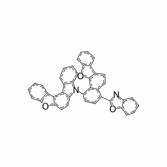 c1ccc2oc(-c3ccc(-n4c5ccccc5c5c6c(ccc54)oc4ccccc46)c4c3ccc3c5ccccc5oc34)nc2c1